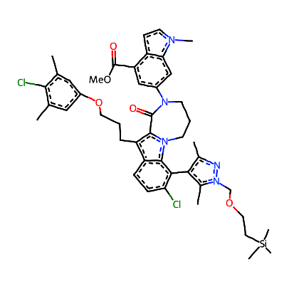 COC(=O)c1cc(N2CCCn3c(c(CCCOc4cc(C)c(Cl)c(C)c4)c4ccc(Cl)c(-c5c(C)nn(COCC[Si](C)(C)C)c5C)c43)C2=O)cc2c1ccn2C